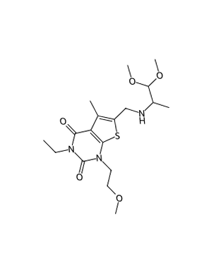 CCn1c(=O)c2c(C)c(CNC(C)C(OC)OC)sc2n(CCOC)c1=O